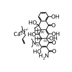 C=CC[N+](C)(C)C.CN(C)[C@@H]1C(O)=C(C(N)=O)C(=O)[C@@]2(O)C(O)=C3C(=O)c4c(O)cccc4[C@@](C)(O)[C@H]3[C@H](O)[C@@H]12.[Ca+2]